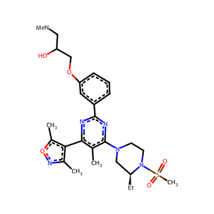 CC[C@H]1CN(c2nc(-c3cccc(OCC(O)CNC)c3)nc(-c3c(C)noc3C)c2C)CCN1S(C)(=O)=O